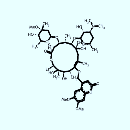 CC[C@H]1OC(=O)[C@H](C)[C@@H](OC2C[C@@](C)(OC)[C@@H](O)[C@H](C)O2)[C@H](C)[C@@H](OC2O[C@H](C)C[C@H](N(C)C)[C@H]2O)[C@](C)(O)C/C(C)=C(/OCc2cc(=O)oc3cc(OC)c(OC)cc23)[C@H](C)[C@@H](O)[C@]1(C)O